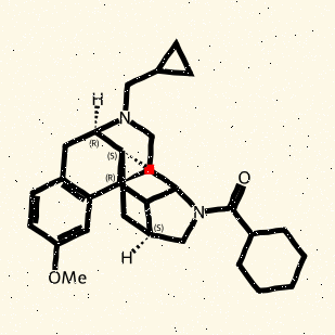 COc1ccc2c(c1)[C@]13CCN(CC4CC4)[C@H](C2)[C@]12CCC1C3[C@@H](CN1C(=O)C1CCCCC1)C2